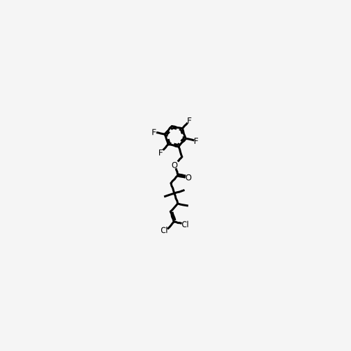 CC(C=C(Cl)Cl)C(C)(C)CC(=O)OCc1c(F)c(F)cc(F)c1F